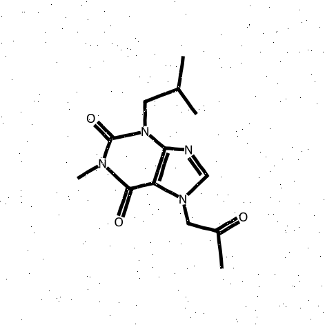 CC(=O)Cn1cnc2c1c(=O)n(C)c(=O)n2CC(C)C